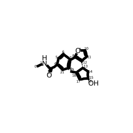 CNC(=O)c1ccc(-c2occc2[C@@H]2C[C@@H](O)C=C2C)cc1